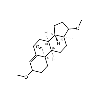 COC1C=C2CC[C@@H]3[C@@H](CC[C@]4(C)C(OC)CC[C@@H]34)[C@@]2(C=O)CC1